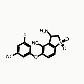 N#Cc1cc(F)cc(Oc2ccc3c(c2C#N)C(N)CS3(=O)=O)c1